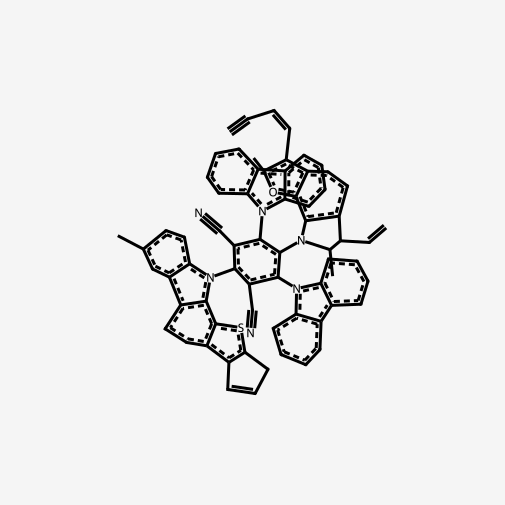 C#C/C=C\c1c(C)oc2c3c(ccc12)C(C=C)C(C)N3c1c(-n2c3ccccc3c3ccccc32)c(C#N)c(-n2c3ccc(C)cc3c3ccc4c5c(sc4c32)CC=C5)c(C#N)c1-n1c2ccccc2c2ccccc21